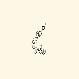 O=C1CCC(N2Cc3cc(CNCC4CCN(c5ncc(-c6ccc(F)cc6)cc5F)CC4)ccc3C2=O)C(=O)N1